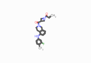 C=CC(=O)N1CC(C(=O)N2CCc3c(cccc3Nc3ccc(C(F)(F)F)c(F)c3)C2)C1